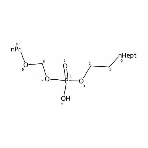 CCCCCCCCCOP(=O)(O)OCOCCC